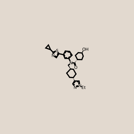 CCn1cc([C@H]2CC[C@H](CN(c3cccc(-c4cnc(C5CC5)s4)c3)C(=O)[C@H]3CC[C@H](O)CC3)CC2)cn1